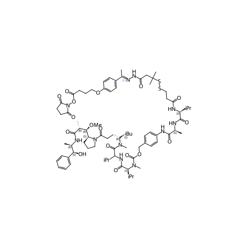 CC[C@H](C)[C@@H](CCC(=O)N1CCC[C@H]1[C@H](OC)[C@@H](C)C(=O)N[C@H](C)[C@@H](O)c1ccccc1)N(C)C(=O)C(NC(=O)[C@H](C(C)C)N(C)C(=O)OCc1ccc(NC(=O)[C@H](C)NC(=O)[C@@H](NC(=O)CCSSC(C)(C)CC(=O)N/N=C(\C)c2ccc(OCCCC(=O)ON3C(=O)CCC3=O)cc2)C(C)C)cc1)C(C)C